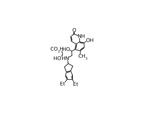 CCc1cc2c(cc1CC)CC(NCC(O)c1c(C)cc(O)c3[nH]c(=O)ccc13)C2.O=C(O)CO